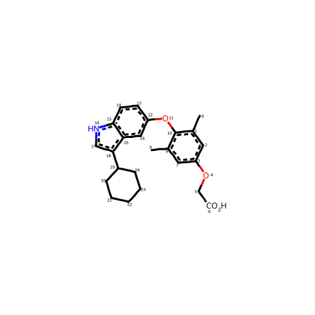 Cc1cc(OCC(=O)O)cc(C)c1Oc1ccc2[nH]cc(C3CCCCC3)c2c1